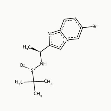 C[C@H](N[S@@+]([O-])C(C)(C)C)c1cn2cc(Br)ccc2n1